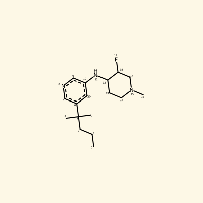 CCCC(C)(C)c1cncc(NC2CCN(C)CC2F)c1